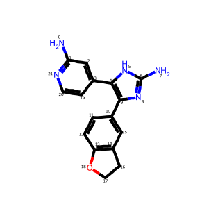 Nc1cc(-c2[nH]c(N)nc2-c2ccc3c(c2)CCO3)ccn1